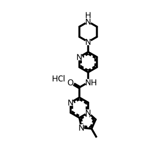 Cc1cn2cc(C(=O)Nc3ccc(N4CCNCC4)nc3)ncc2n1.Cl